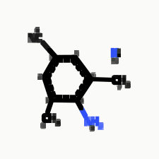 Cc1cc(C#N)cc(C)c1N.[N]